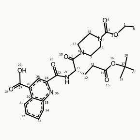 CCOC(=O)N1CCN(C(=O)[C@H](CCC(=O)OC(C)(C)C)NC(=O)c2cc(C(=O)O)c3ccccc3n2)CC1